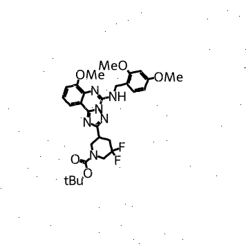 COc1ccc(CNc2nc3c(OC)cccc3c3nc(C4CN(C(=O)OC(C)(C)C)CC(F)(F)C4)nn23)c(OC)c1